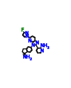 Nc1ncccc1-c1nc2ccc(-n3ccc(F)n3)nc2n1-c1ccc2c(c1)CC[C@@H]2N